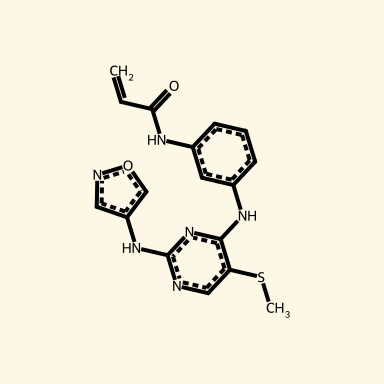 C=CC(=O)Nc1cccc(Nc2nc(Nc3cnoc3)ncc2SC)c1